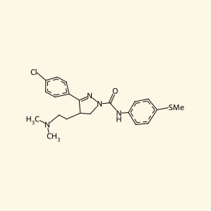 CSc1ccc(NC(=O)N2CC(CCN(C)C)C(c3ccc(Cl)cc3)=N2)cc1